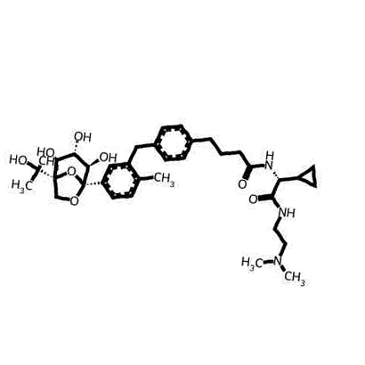 Cc1ccc([C@]23OC[C@](C(C)(C)O)(O2)[C@@H](O)[C@H](O)[C@H]3O)cc1Cc1ccc(CCCC(=O)N[C@@H](C(=O)NCCN(C)C)C2CC2)cc1